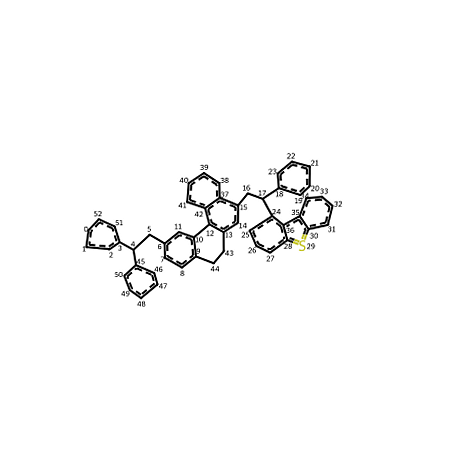 c1ccc(C(Cc2ccc3c(c2)-c2c(cc(CC(c4ccccc4)c4cccc5sc6ccccc6c45)c4ccccc24)CC3)c2ccccc2)cc1